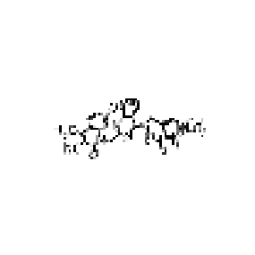 COc1ccc2c(C)c(C#N)c(=O)n(Cc3nc(N(C)Cc4cnn(C)c4)c4ccccc4n3)c2c1